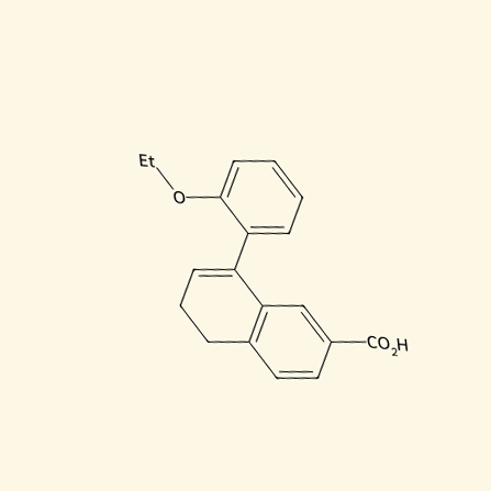 CCOc1ccccc1C1=CCCc2ccc(C(=O)O)cc21